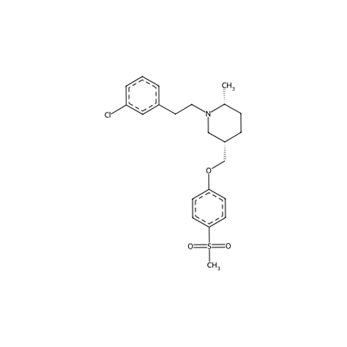 C[C@@H]1CC[C@H](COc2ccc(S(C)(=O)=O)cc2)CN1CCc1cccc(Cl)c1